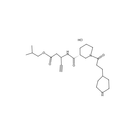 C#CC(CC(=O)OCC(C)C)NC(=O)[C@@H]1CCCN(C(=O)CCC2CCNCC2)C1.Cl